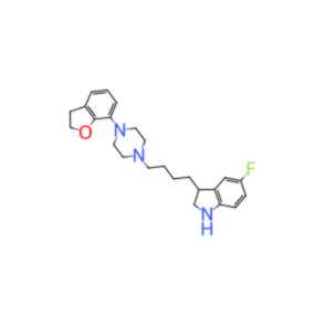 Fc1ccc2c(c1)C(CCCCN1CCN(c3cccc4c3OCC4)CC1)CN2